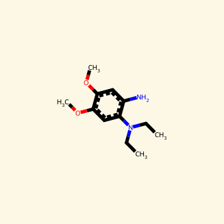 CCN(CC)c1cc(OC)c(OC)cc1N